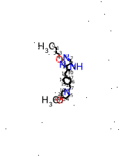 CCCCOc1ncc2[nH]cc(Cc3ccc(CN4CCC(OC)CC4)cc3)c2n1